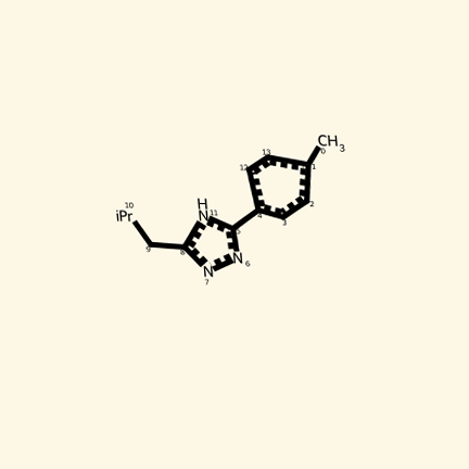 Cc1ccc(-c2nnc(CC(C)C)[nH]2)cc1